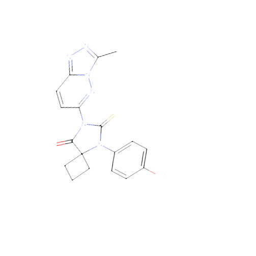 Cc1nnc2ccc(N3C(=O)C4(CCC4)N(c4ccc(O)cc4)C3=S)nn12